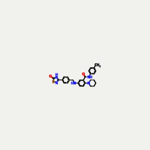 Cc1ccc(NC(=O)c2cc(NCc3ccc(-c4nsc(=O)[nH]4)cc3)ccc2N2CCCCC2)cc1